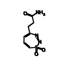 NC(=O)CCC1=CC=CS(=O)(=O)N=N1